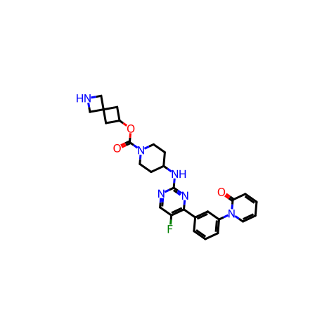 O=C(OC1CC2(CNC2)C1)N1CCC(Nc2ncc(F)c(-c3cccc(-n4ccccc4=O)c3)n2)CC1